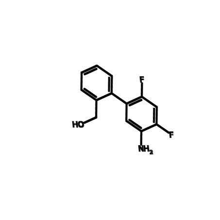 Nc1cc(-c2ccccc2CO)c(F)cc1F